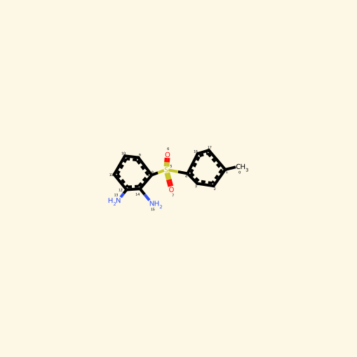 Cc1ccc(S(=O)(=O)c2cccc(N)c2N)cc1